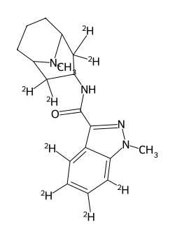 [2H]c1c([2H])c([2H])c2c(c(C(=O)NC3C([2H])([2H])C4CCCC(N4C)C3([2H])[2H])nn2C)c1[2H]